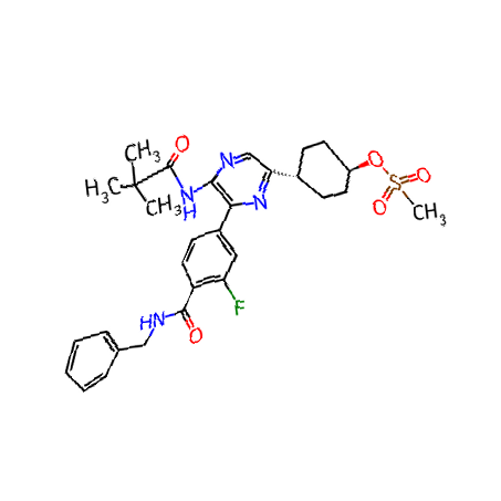 CC(C)(C)C(=O)Nc1ncc([C@H]2CC[C@H](OS(C)(=O)=O)CC2)nc1-c1ccc(C(=O)NCc2ccccc2)c(F)c1